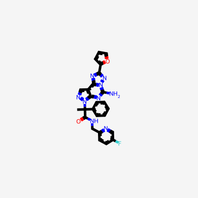 CC(C(=O)NCc1ccc(F)cn1)(c1ccccc1)n1ncc2c1nc(N)n1nc(-c3ccco3)nc21